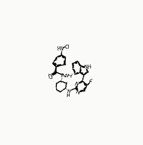 O=C(N[C@H]1CCC[C@@H](Nc2ncc(F)c(-c3c[nH]c4ccccc34)n2)C1)c1ccc(NCl)cc1